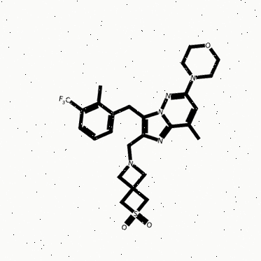 Cc1c(Cc2c(CN3CC4(C3)CS(=O)(=O)C4)nc3c(C)cc(N4CCOCC4)nn23)cccc1C(F)(F)F